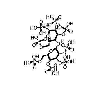 O=P(O)(O)OC[C@H]1O[C@@H](O[C@H]2[C@H](OP(=O)(O)O)[C@@H](OP(=O)(O)O)[C@@H](OP(=O)(O)O)O[C@@H]2COP(=O)(O)O)[C@H](OP(=O)(O)O)[C@@H](OP(=O)(O)O)[C@H]1OP(=O)(O)O